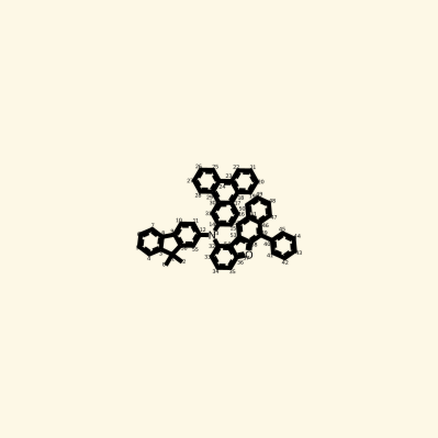 CC1(C)c2ccccc2-c2ccc(N(c3ccc4c5ccccc5c5ccccc5c4c3)c3cccc4oc5c(-c6ccccc6)c6ccccc6cc5c34)cc21